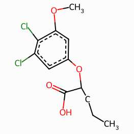 CCCC(Oc1cc(Cl)c(Cl)c(OC)c1)C(=O)O